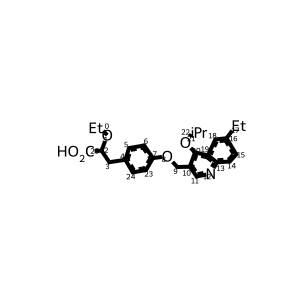 CCOC(Cc1ccc(OCc2cnc3ccc(CC)cc3c2OC(C)C)cc1)C(=O)O